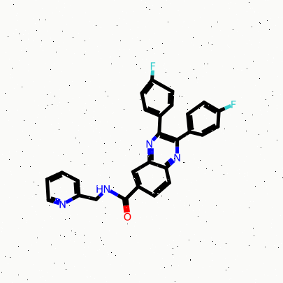 O=C(NCc1ccccn1)c1ccc2nc(-c3ccc(F)cc3)c(-c3ccc(F)cc3)nc2c1